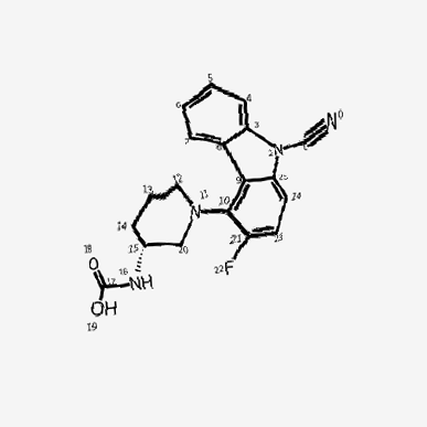 N#Cn1c2ccccc2c2c(N3CCC[C@@H](NC(=O)O)C3)c(F)ccc21